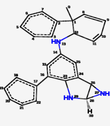 CC1(c2ccccc2)C=CC=CC1Nc1cc(-c2ccccc2)c2c(c1)C1N[C@H]1N2